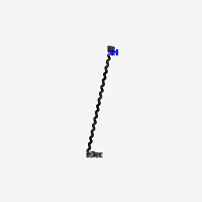 CCCCCCCCCCCCCCCCCCCCCCCCCCCCCCCCCCCCCCCCCNCC